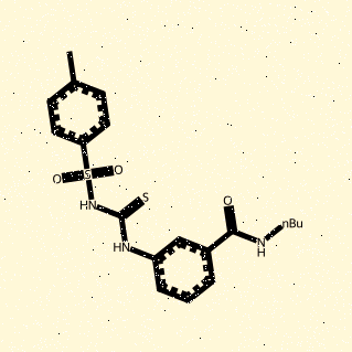 CCCCNC(=O)c1cccc(NC(=S)NS(=O)(=O)c2ccc(C)cc2)c1